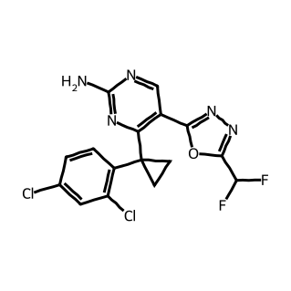 Nc1ncc(-c2nnc(C(F)F)o2)c(C2(c3ccc(Cl)cc3Cl)CC2)n1